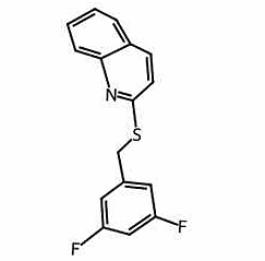 Fc1cc(F)cc(CSc2ccc3ccccc3n2)c1